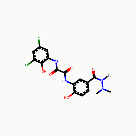 CCN(C(=O)c1ccc(O)c(NC(=O)C(=O)Nc2cc(Cl)cc(Cl)c2O)c1)N(C)C